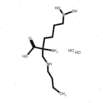 CCCCNCC(N)(CCCCB(O)O)C(=O)O.Cl.Cl